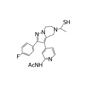 CC(=O)Nc1cc(-c2c(-c3ccc(F)cc3)nn3c2CN(C(C)S)CC3)ccn1